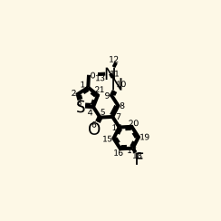 Cc1csc(C(=O)C(=CC=NN(C)C)c2ccc(F)cc2)c1